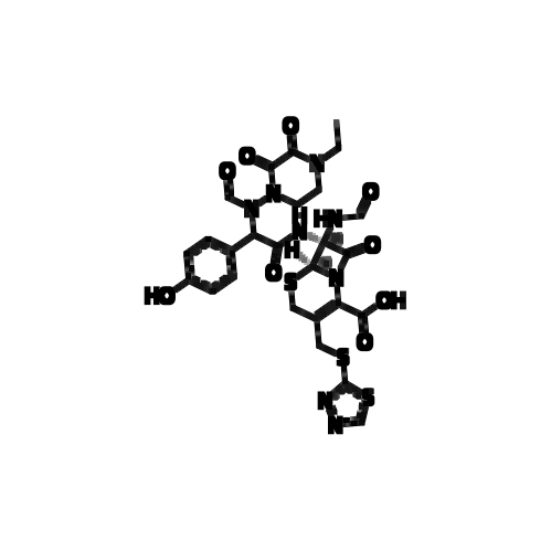 CCN1CCN(N(C=O)C(C(=O)N[C@]2(NC=O)C(=O)N3C(C(=O)O)=C(CSc4nncs4)CS[C@H]32)c2ccc(O)cc2)C(=O)C1=O